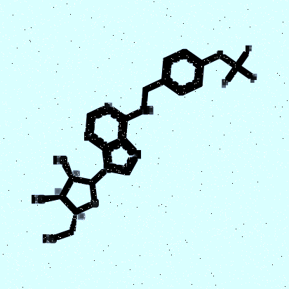 OC[C@H]1OC(n2cnc3c(NCc4ccc(SC(F)(F)F)cc4)ncnc32)[C@H](O)[C@@H]1O